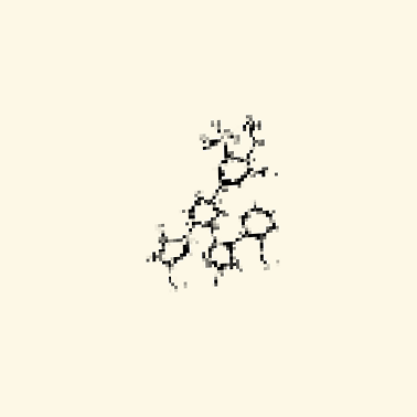 Cc1nc(-c2ccccc2C(F)(F)F)c(-c2cc(-c3cc(F)c(CO)c(S(C)(=O)=O)c3)ccc2-n2cc(C(F)(F)F)nc2C)o1